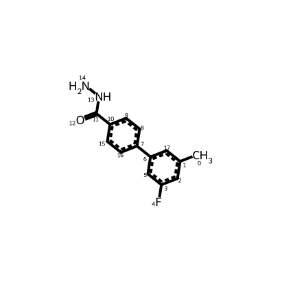 Cc1cc(F)cc(-c2ccc(C(=O)NN)cc2)c1